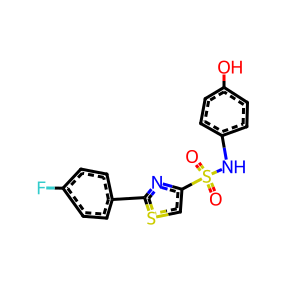 O=S(=O)(Nc1ccc(O)cc1)c1csc(-c2ccc(F)cc2)n1